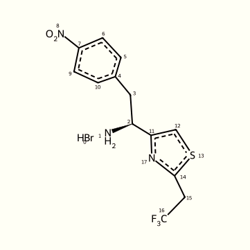 Br.N[C@@H](Cc1ccc([N+](=O)[O-])cc1)c1csc(CC(F)(F)F)n1